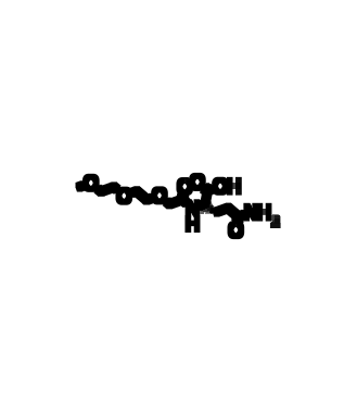 COCCOCCOCC(=O)N[C@@H](CCC(N)=O)C(=O)O